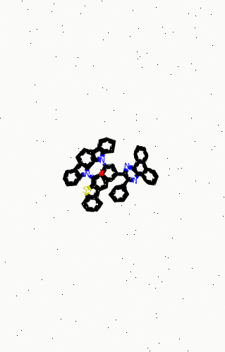 c1ccc(-c2nc3c4ccccc4c4ccccc4c3nc2-c2cccc(-n3c4ccccc4c4ccc5c6ccccc6n(-c6cccc7c6sc6ccccc67)c5c43)c2)cc1